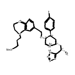 CC[C@@H](C[C@H]1C[C@H](c2ccc(F)cc2)[C@@H](OCc2ccc3c(c2)N(CCCOC)CCO3)CN1)c1nnn[nH]1